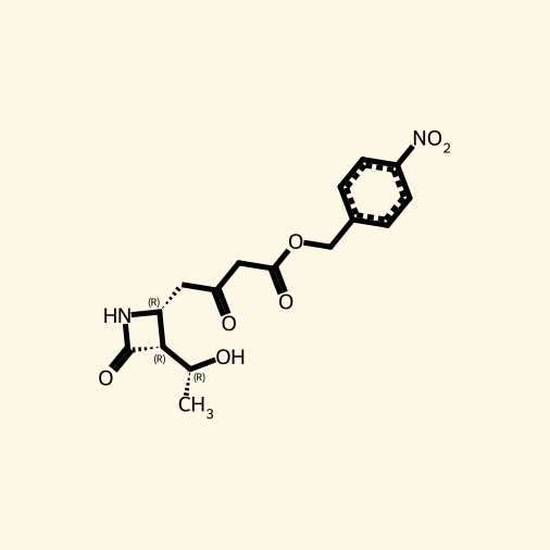 C[C@@H](O)[C@@H]1C(=O)N[C@@H]1CC(=O)CC(=O)OCc1ccc([N+](=O)[O-])cc1